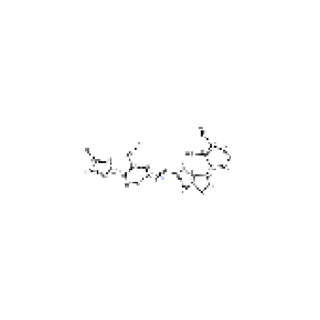 COc1nc(/C=C/c2nc3n(n2)CCC3c2cccc(F)c2F)ccc1-n1cnc(C)c1